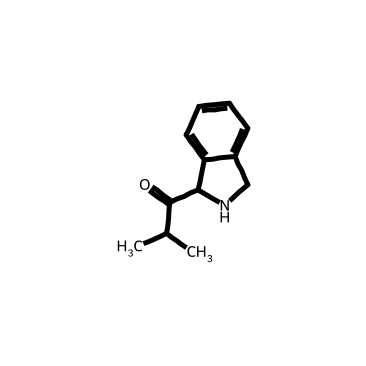 CC(C)C(=O)C1NCc2ccccc21